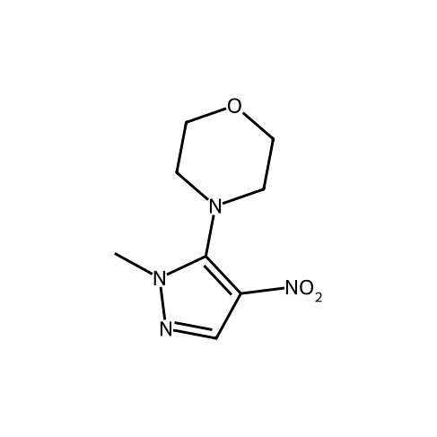 Cn1ncc([N+](=O)[O-])c1N1CCOCC1